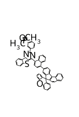 CP(C)(=O)c1cccc(-c2nc(-c3ccc(-c4ccc5c(c4)C4(c6ccccc6Oc6ccccc64)c4ccc6ccccc6c4-5)c4ccccc34)c3sc4ccccc4c3n2)c1